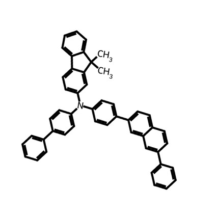 CC1(C)c2ccccc2-c2ccc(N(c3ccc(-c4ccccc4)cc3)c3ccc(-c4ccc5ccc(-c6ccccc6)cc5c4)cc3)cc21